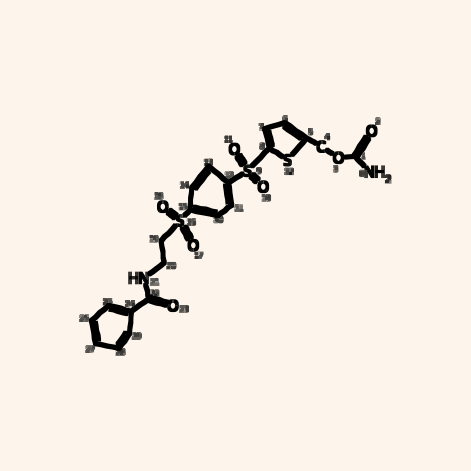 NC(=O)OCc1ccc(S(=O)(=O)c2ccc(S(=O)(=O)CCNC(=O)c3ccccc3)cc2)s1